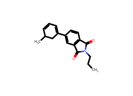 CCCN1C(=O)c2ccc(C3=CC=CC(C)C3)cc2C1=O